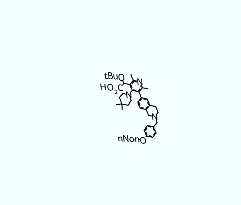 CCCCCCCCCOc1ccc(CN2CCc3cc(-c4c(C)nc(C)c(C(OC(C)(C)C)C(=O)O)c4N4CCC(C)(C)CC4)ccc3C2)cc1